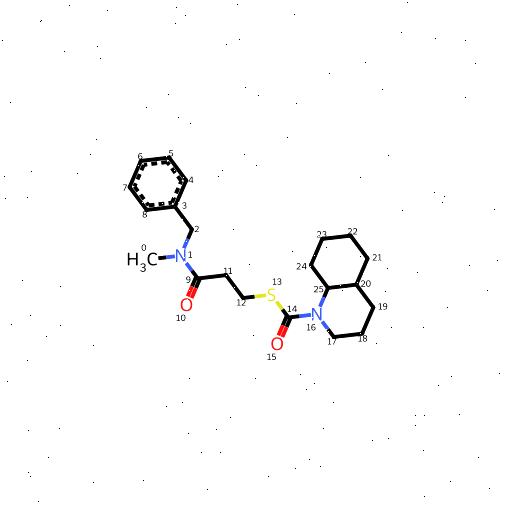 CN(Cc1ccccc1)C(=O)CCSC(=O)N1CCCC2CCCCC21